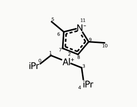 CC(C)[CH2][Al+][CH2]C(C)C.Cc1ccc(C)[n-]1